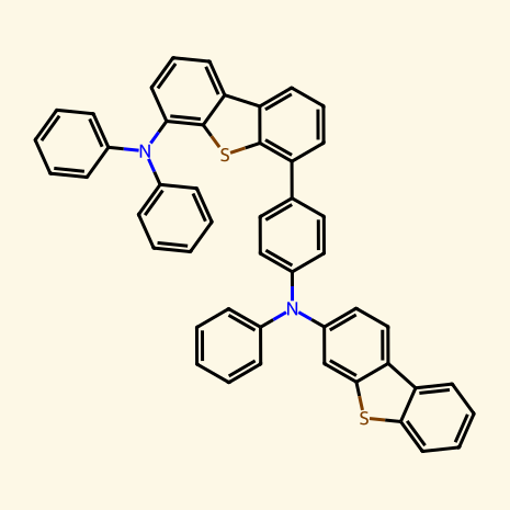 c1ccc(N(c2ccc(-c3cccc4c3sc3c(N(c5ccccc5)c5ccccc5)cccc34)cc2)c2ccc3c(c2)sc2ccccc23)cc1